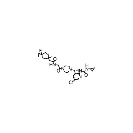 CC1(CC(=O)NCC(=O)N2CCN(Cc3cc(Cl)cnc3NC(=O)NC3CC3)CC2)CCC(F)(F)CC1